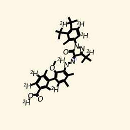 [2H]OC(=O)c1c([2H])c([2H])c(C)c(-c2c([2H])c(C)c(C)c(N([2H])/N=C3\C(=O)N(c4c([2H])c([2H])c(C([2H])(C)C)c(C(C)(C)C)c4C)N=C3C([2H])(C)C)c2OC)c1C